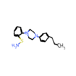 CCCc1ccc(N2CCN(c3ccccc3SN)CC2)cc1